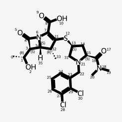 C[C@@H](O)[C@H]1C(=O)N2C(C(=O)O)=C(S[C@H]3C[C@@H](C(=O)N(C)C)N(Cc4cccc(Cl)c4Cl)C3)[C@H](C)[C@H]12